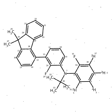 [2H]c1c([2H])c([2H])c(N(c2cccc(-c3cccc4c3-c3ccccc3C4(C)C)c2F)C(C)(C)C)c(F)c1[2H]